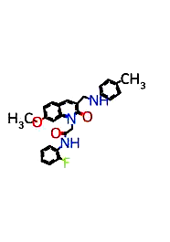 COc1ccc2cc(CNc3ccc(C)cc3)c(=O)n(CC(=O)Nc3ccccc3F)c2c1